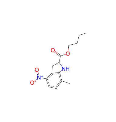 CCCCOC(=O)C1Cc2c([N+](=O)[O-])ccc(C)c2N1